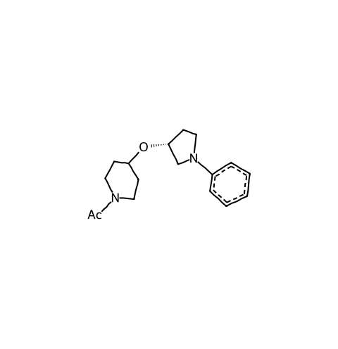 CC(=O)N1CCC(O[C@@H]2CCN(c3ccccc3)C2)CC1